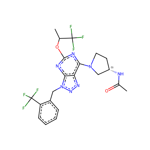 CC(=O)N[C@H]1CCN(c2nc(OC(C)C(F)(F)F)nc3c2nnn3Cc2ccccc2C(F)(F)F)C1